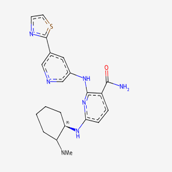 CNC1CCCC[C@H]1Nc1ccc(C(N)=O)c(Nc2cncc(-c3nccs3)c2)n1